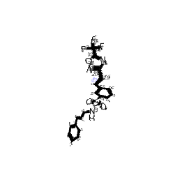 O=S(=O)(NCC=Cc1ccccc1)c1cccc(/C=C/c2noc(C(F)(F)F)n2)c1